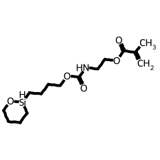 C=C(C)C(=O)OCCNC(=O)OCCCC[SiH]1CCCCO1